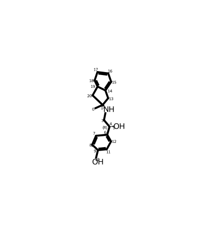 CC1(NC[C@H](O)c2c[c]c(O)cc2)Cc2ccccc2C1